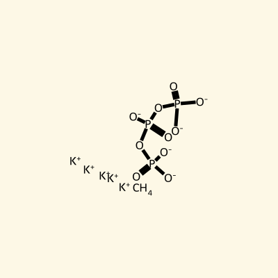 C.O=P([O-])([O-])OP(=O)([O-])OP(=O)([O-])[O-].[K+].[K+].[K+].[K+].[K+]